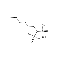 CCC[CH]CCC(P(=O)(O)O)P(=O)(O)O